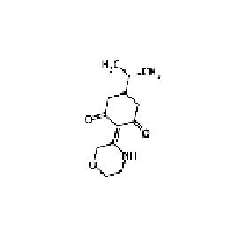 CC(C)C1CC(=O)C(=C2COCCN2)C(=O)C1